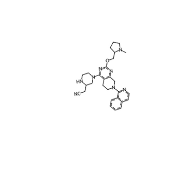 CN1CCCC1COc1nc2c(c(N3CCNC(CC#N)C3)n1)CCN(c1nccc3ccccc13)C2